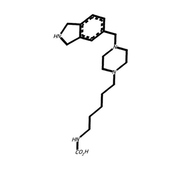 O=C(O)NCCCCCN1CCN(Cc2ccc3c(c2)CNC3)CC1